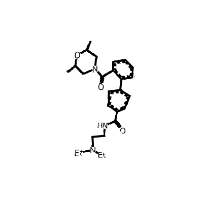 CCN(CC)CCNC(=O)c1ccc(-c2[c]cccc2C(=O)N2CC(C)OC(C)C2)cc1